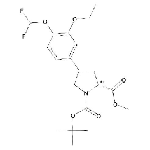 CCOc1cc(C2C[C@H](C(=O)OC)N(C(=O)OC(C)(C)C)C2)ccc1OC(F)F